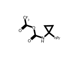 CCCC1(NC(=O)OC(=O)C(F)(F)F)CC1